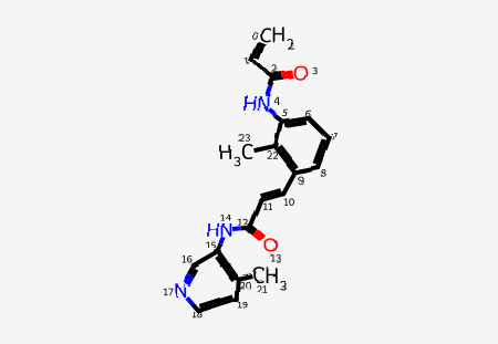 C=CC(=O)Nc1cccc(/C=C/C(=O)Nc2cnccc2C)c1C